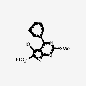 CCOC(=O)c1sc2nc(SC)nc(-c3ccccc3)c2c1O